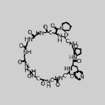 O=C1CNC(=O)CNC(=O)CNC(=O)CC(C(=O)N2CCCCC2)NC(=O)CNC(=O)C2(CCCC2)NC(=O)C(Cc2cccnc2)NC(=O)CNC(=O)CNC(=O)CNC(=O)CN1